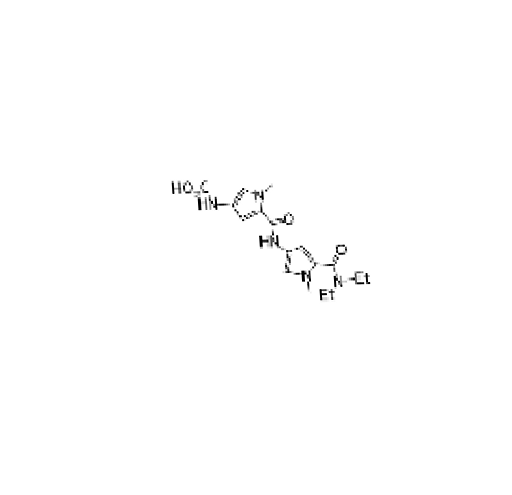 CCN(CC)C(=O)c1cc(NC(=O)c2cc(NC(=O)O)cn2C)cn1C